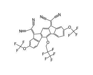 N#CC(C#N)=C1c2cc(OC(F)(F)F)ccc2-c2c1cc1c(c2OCC(F)(F)C(F)(F)F)-c2ccc(OC(F)(F)F)cc2C1=C(C#N)C#N